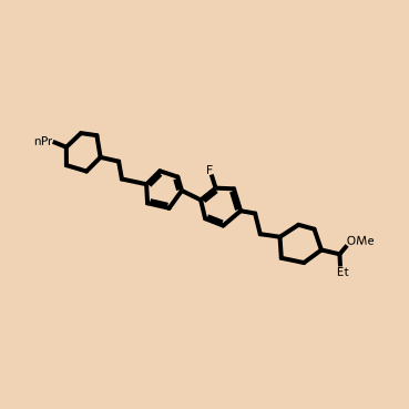 CCCC1CCC(CCc2ccc(-c3ccc(CCC4CCC(C(CC)OC)CC4)cc3F)cc2)CC1